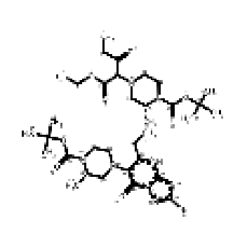 CCOC(=O)C(C(=O)CC)N1CCN(C(=O)OC(C)(C)C)[C@H](C)C1.CCc1[nH]c2nc(Br)nn2c(=O)c1N1CCN(C(=O)OC(C)(C)C)[C@H](C)C1